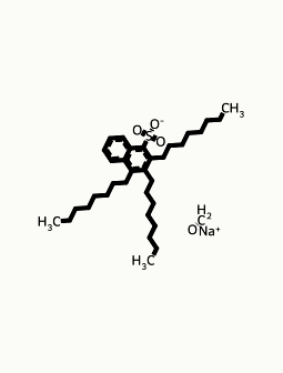 C=O.CCCCCCCCc1c(CCCCCCCC)c(S(=O)(=O)[O-])c2ccccc2c1CCCCCCCC.[Na+]